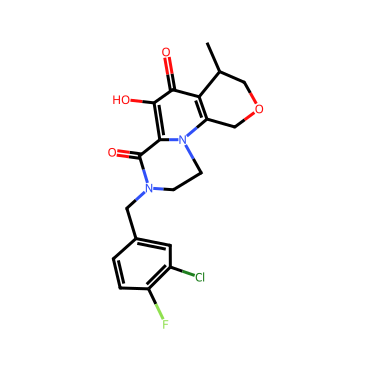 CC1COCc2c1c(=O)c(O)c1n2CCN(Cc2ccc(F)c(Cl)c2)C1=O